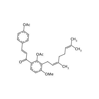 COc1ccc(C(=O)C=Cc2ccc(OC(C)=O)cc2)c(OC(C)=O)c1CC=C(C)CCC=C(C)C